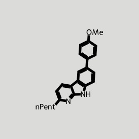 CCCCCc1ccc2c(n1)[nH]c1ccc(-c3ccc(OC)cc3)cc12